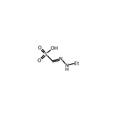 CCNN=CS(=O)(=O)O